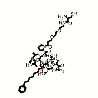 CC(C)C[C@H](NC(=O)[C@@H]1CCCN1C(=O)CCOCCOCCNC(=O)[C@@H](N)CS)C(=O)N[C@@H](Cc1cnc[nH]1)C(=O)N[C@@H](CO)C(=O)N[C@H](C(N)=O)[C@@H](C)OP(=O)(O)OCCCCCCCCCCc1ccccc1